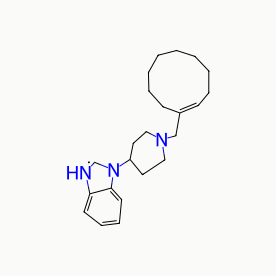 [CH]1Nc2ccccc2N1C1CCN(CC2=CCCCCCCCC2)CC1